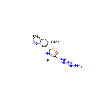 C/C=N\c1ccc(OC)c(C(=O)N[C@H](C(=O)CNNNNN)C(C)C)c1